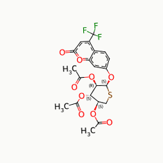 CC(=O)O[C@@H]1[C@@H](OC(C)=O)[C@@H](Oc2ccc3c(C(F)(F)F)cc(=O)oc3c2)SC[C@H]1OC(C)=O